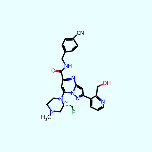 CN1CCN(c2cc(C(=O)NCc3ccc(C#N)cc3)nc3cc(-c4cccnc4CO)nn23)[C@H](CF)C1